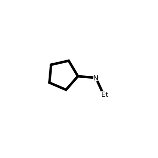 CC[N]C1CCCC1